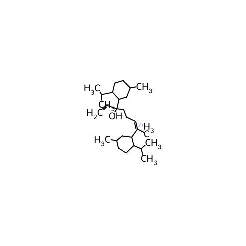 C=CC(O)(CC/C=C(/C)C1CC(C)CCC1C(C)C)C1CC(C)CCC1C(C)C